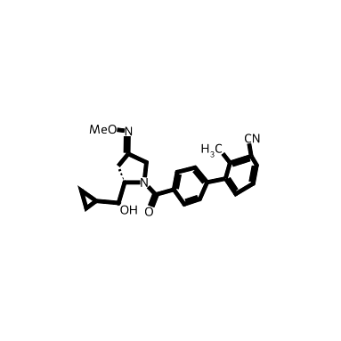 CO/N=C1\C[C@@H]([C@@H](O)C2CC2)N(C(=O)c2ccc(-c3cccc(C#N)c3C)cc2)C1